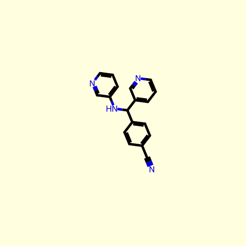 N#Cc1ccc(C(Nc2cccnc2)c2cccnc2)cc1